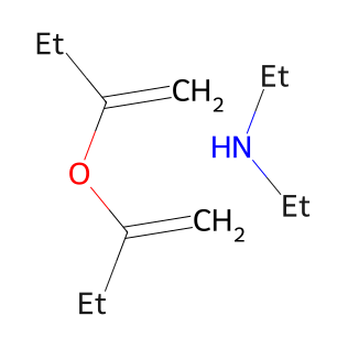 C=C(CC)OC(=C)CC.CCNCC